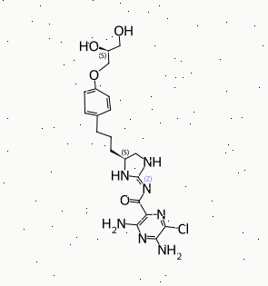 Nc1nc(N)c(C(=O)/N=C2/NC[C@H](CCCc3ccc(OC[C@@H](O)CO)cc3)N2)nc1Cl